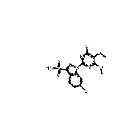 COc1nc(-n2cc(S(N)(=O)=O)c3ccc(Cl)cc32)nc(Cl)c1OC